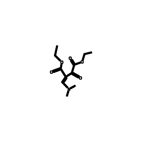 CCOC(=O)C(=O)/C(=C\N(C)C)C(=O)OCC